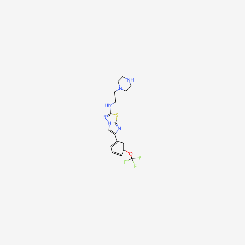 FC(F)(F)Oc1cccc(-c2cn3nc(NCCN4CCNCC4)sc3n2)c1